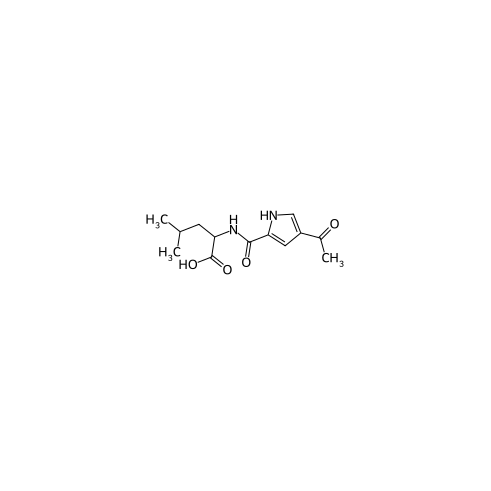 CC(=O)c1c[nH]c(C(=O)NC(CC(C)C)C(=O)O)c1